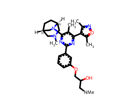 CNCC(O)COc1cccc(-c2nc(-c3c(C)noc3C)c(C)c(N3C[C@H]4CC[C@H]3CN(C)C4)n2)c1